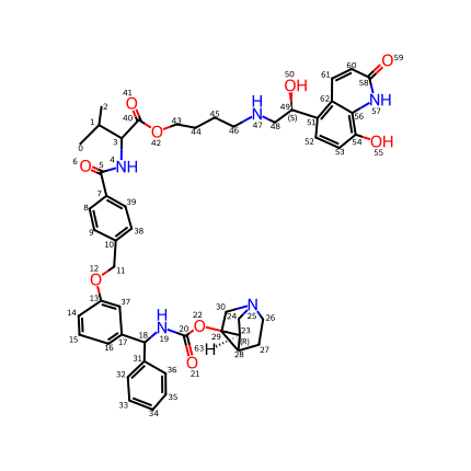 CC(C)C(NC(=O)c1ccc(COc2cccc(C(NC(=O)O[C@H]3CN4CCC3CC4)c3ccccc3)c2)cc1)C(=O)OCCCCNC[C@@H](O)c1ccc(O)c2[nH]c(=O)ccc12